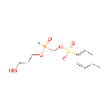 Cc1ccc(S(=O)(=O)OCP(C)(=O)OCCCO)cc1